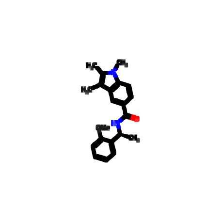 COc1ccccc1[C@H](C)NC(=O)c1ccc2c(c1)c(C)c(C)n2C